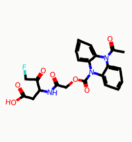 CC(=O)N1c2ccccc2N(C(=O)OCC(=O)NC(CC(=O)O)C(=O)CF)c2ccccc21